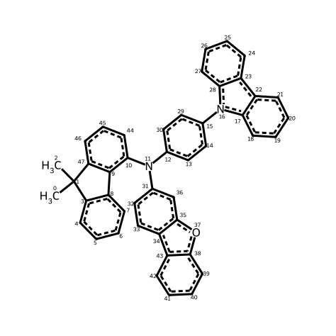 CC1(C)c2ccccc2-c2c(N(c3ccc(-n4c5ccccc5c5ccccc54)cc3)c3ccc4c(c3)oc3ccccc34)cccc21